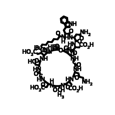 CCC(C)CCCCCCC(=O)NC(Cc1c[nH]c2ccccc12)C(=O)NC(CC(N)=O)C(=O)NC(CC(=O)O)C(=O)NC1C(=O)NCC(=O)NC(CCCN)C(=O)NC(CC(=O)O)C(=O)NC(C)C(=O)NC(CC(=O)O)C(=O)NCC(=O)NC(CO)C(=O)NC(C(C)CC(=O)O)C(=O)NC(C(C)CC)C(=O)OC1C